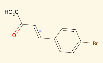 O=C(O)C(=O)/C=C/c1ccc(Br)cc1